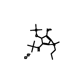 CCC[Si]1(C)C2=[C]([Zr+2])C(O[Si](C)(C)C)C(NC(C)(C)C)=C21.[Cl-].[Cl-]